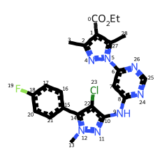 CCOC(=O)c1c(C)nn(-c2cc(Nc3nn(C)c(-c4ccc(F)cc4)c3Cl)ncn2)c1C